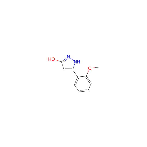 COc1ccccc1-c1cc(O)n[nH]1